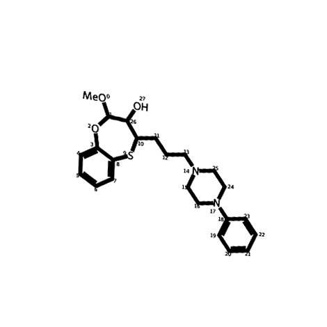 COC1Oc2ccccc2SC(CCCN2CCN(c3ccccc3)CC2)C1O